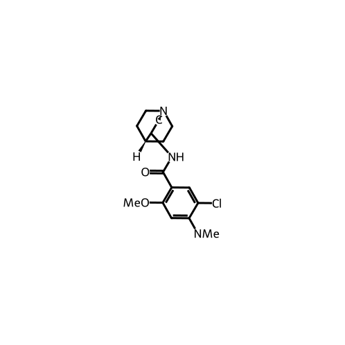 CNc1cc(OC)c(C(=O)NC2C[N@]3CC[C@H]2CC3)cc1Cl